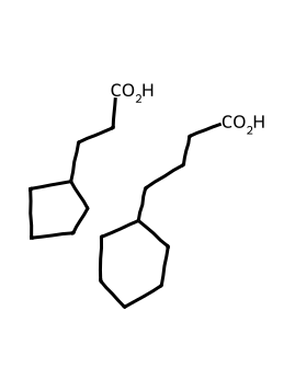 O=C(O)CCC1CCCC1.O=C(O)CCCC1CCCCC1